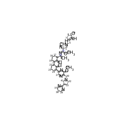 C=N/C(CNC[C@@H]1CCC(=O)N1)=C(\N=C(/C)c1cccc(-c2cccc(-c3cnc(CN4CCC(c5ncccn5)C4)c(OC)n3)c2Cl)c1Cl)OC